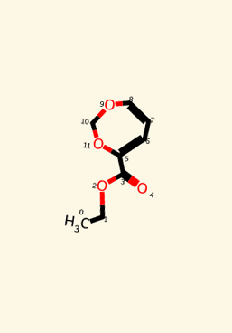 CCOC(=O)C1=CC=COCO1